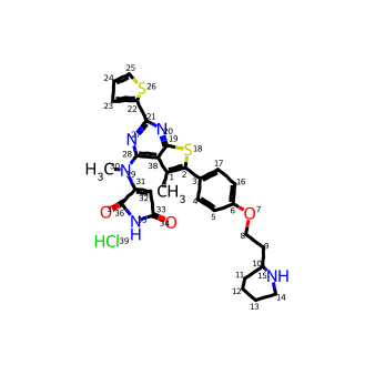 Cc1c(-c2ccc(OCCC3CCCCN3)cc2)sc2nc(-c3cccs3)nc(N(C)C3=CC(=O)NC3=O)c12.Cl